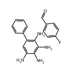 Nc1cc(-c2ccccc2)c(N)c(N)c1N.O=Cc1ccc(F)cc1